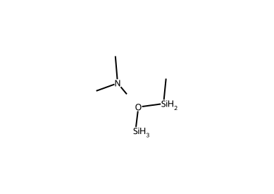 CN(C)C.C[SiH2]O[SiH3]